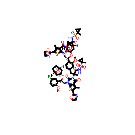 COc1cc(CC(C)(C(=O)NS(=O)(=O)C2(C)CC2)n2c(=O)c3c(C)c(-c4ncco4)sc3n(C[C@H](O[C@@H]3C[C@H]4CC[C@@H](C3)O4)c3cc(F)ccc3OC)c2=O)ccc1[C@H](Cn1c(=O)n(C(C)(C)C(=O)NS(=O)(=O)C2(C)CC2)c(=O)c2c(C)c(-c3ncco3)sc21)O[C@@H]1C[C@H]2CC[C@@H](C1)O2